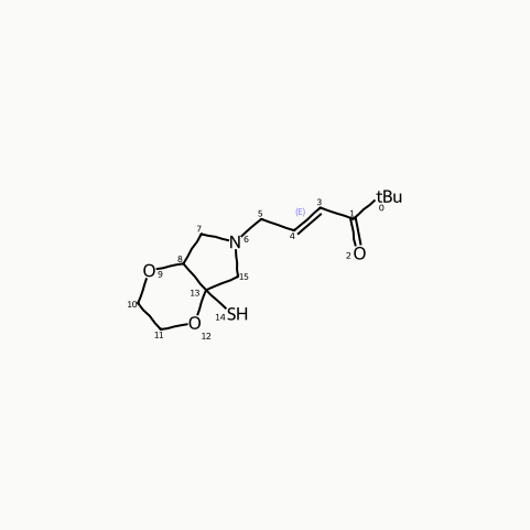 CC(C)(C)C(=O)/C=C/CN1CC2OCCOC2(S)C1